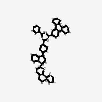 c1ccc(-c2nc(-c3ccc(-c4ccc(-c5ccc6ccc7cccnc7c6n5)c5ccccc45)cc3)nc(-c3ccc4c5ccccc5c5ccccc5c4c3)n2)cc1